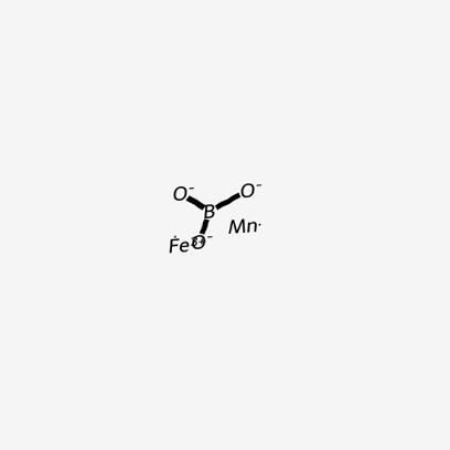 [Fe+3].[Mn].[O-]B([O-])[O-]